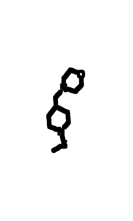 CSN1CCC(CN2CCOCC2)CC1